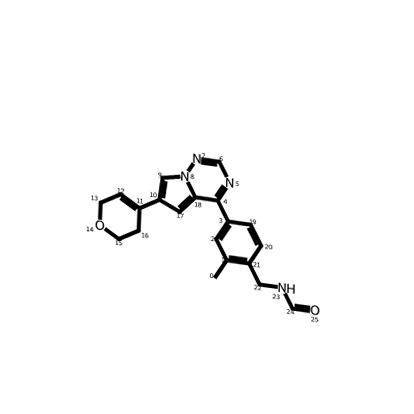 Cc1cc(-c2ncnn3cc(C4=CCOCC4)cc23)ccc1CNC=O